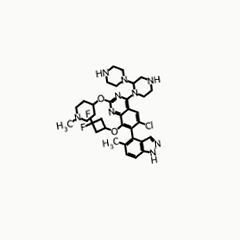 Cc1ccc2[nH]ncc2c1-c1c(Cl)cc2c(N3CCNCC3N3CCNCC3)nc(OC3CCN(C)CC3)nc2c1OC1CC(F)(F)C1